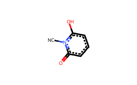 N#Cn1c(O)cccc1=O